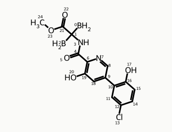 BC(B)(NC(=O)c1ncc(-c2cc(Cl)ccc2O)cc1O)C(=O)OC